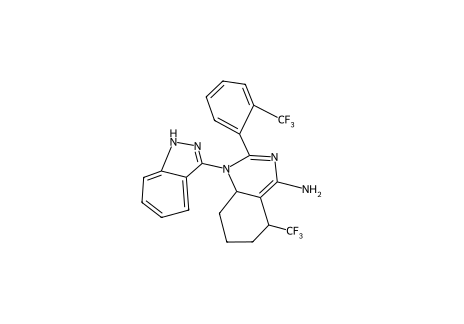 NC1=C2C(CCCC2C(F)(F)F)N(c2n[nH]c3ccccc23)C(c2ccccc2C(F)(F)F)=N1